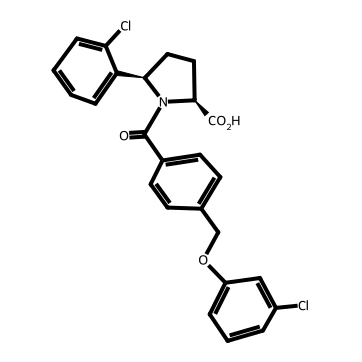 O=C(O)[C@@H]1CC[C@H](c2ccccc2Cl)N1C(=O)c1ccc(COc2cccc(Cl)c2)cc1